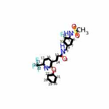 CS(=O)(=O)Nc1ccc(CNC(=O)C=Cc2ccc(C(F)(F)F)nc2Oc2ccccc2)cc1F